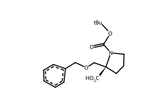 CC(C)(C)OC(=O)N1CCC[C@@]1(COCc1ccccc1)C(=O)O